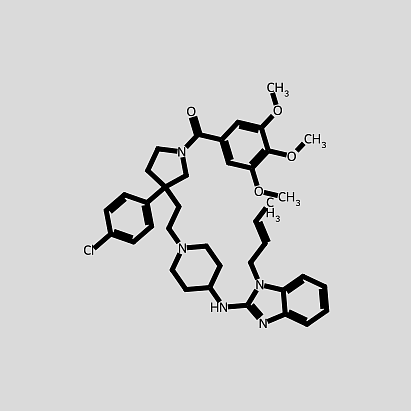 CC=CCn1c(NC2CCN(CCC3(c4ccc(Cl)cc4)CCN(C(=O)c4cc(OC)c(OC)c(OC)c4)C3)CC2)nc2ccccc21